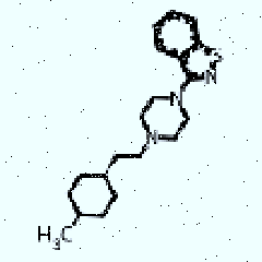 C[C@H]1CC[C@@H](CCN2CCN(c3nsc4ccccc34)CC2)CC1